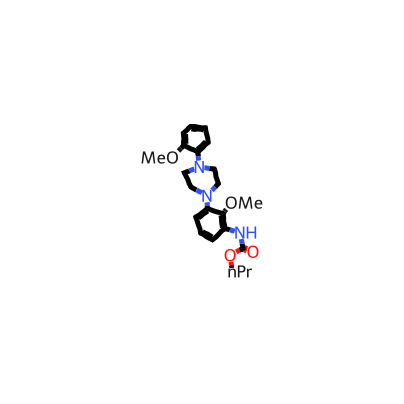 CCCOC(=O)Nc1cccc(N2CCN(c3ccccc3OC)CC2)c1OC